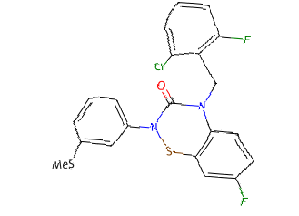 CSc1cccc(N2Sc3cc(F)ccc3N(Cc3c(F)cccc3Cl)C2=O)c1